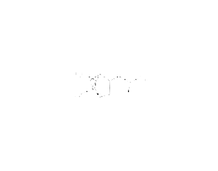 CC1=C(C)N2CCN1CC2CC(C)O